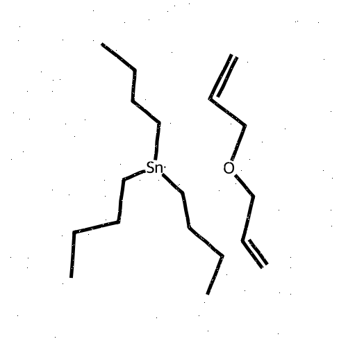 C=CCOCC=C.CCC[CH2][Sn]([CH2]CCC)[CH2]CCC